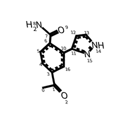 CC(=O)c1ccc(C(N)=O)c(-c2cc[nH]n2)c1